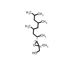 CC(C)CC(C)CC(C)CC(C)[C@H]1O[C@]1(C)CO